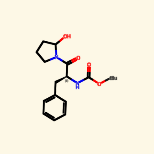 CC(C)(C)OC(=O)N[C@@H](Cc1ccccc1)C(=O)N1CCCC1O